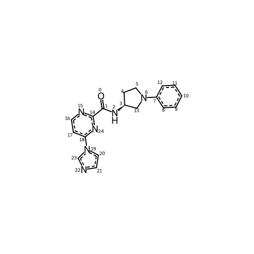 O=C(N[C@H]1CCN(c2ccccc2)C1)c1nccc(-n2ccnc2)n1